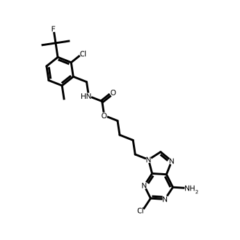 Cc1ccc(C(C)(C)F)c(Cl)c1CNC(=O)OCCCCn1cnc2c(N)nc(Cl)nc21